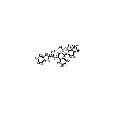 Cc1c(-c2ccc(CNC3Cc4ccccc4C3)c3ccccc23)ccc2nc[nH]c12